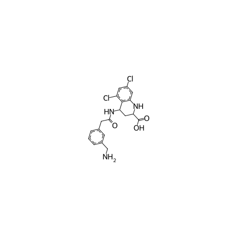 NCc1cccc(CC(=O)NC2CC(C(=O)O)Nc3cc(Cl)cc(Cl)c32)c1